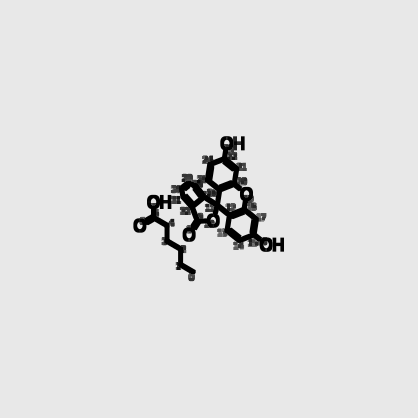 CCCCCC(=O)O.O=C1OC2(c3ccc(O)cc3Oc3cc(O)ccc32)c2ccccc21